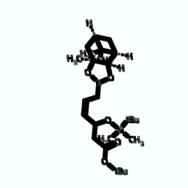 CC(C)(C)OC(=O)CC(/C=C\CB1O[C@@H]2[C@@H]3C[C@H](C[C@]2(C)O1)C3(C)C)O[Si](C)(C)C(C)(C)C